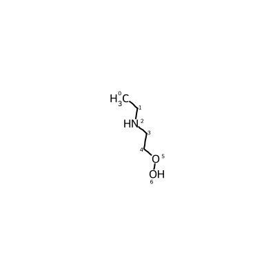 CCNCCOO